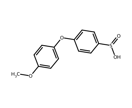 COc1ccc(Oc2ccc(S(=O)O)cc2)cc1